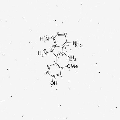 COc1cc(O)ccc1C1=C(N)c2c(N)ccc(N)c2C1N